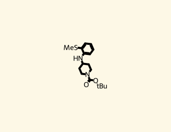 CSc1ccccc1NC1CCN(C(=O)OC(C)(C)C)CC1